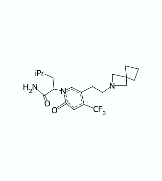 CC(C)CC(C(N)=O)n1cc(CCN2CC3(CCC3)C2)c(C(F)(F)F)cc1=O